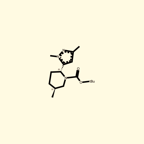 Cc1cc([C@H]2CC[C@H](C)CN2C(=O)OC(C)(C)C)n(C)n1